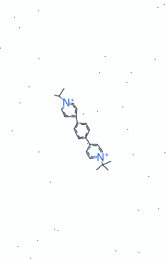 CC(C)[n+]1ccc(-c2ccc(-c3cc[n+](C(C)(C)C)cc3)cc2)cc1